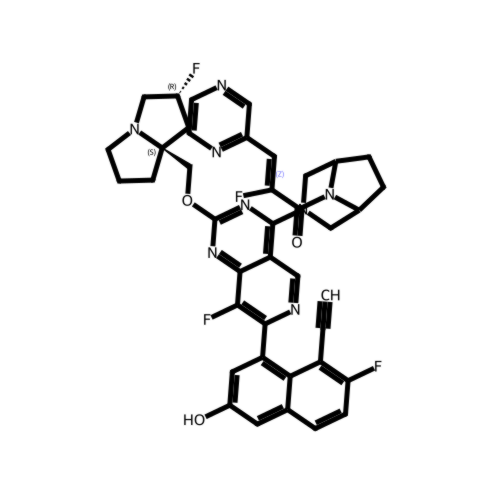 C#Cc1c(F)ccc2cc(O)cc(-c3ncc4c(N5CC6CCC(C5)N6C(=O)/C(F)=C/c5cnccn5)nc(OC[C@@]56CCCN5C[C@H](F)C6)nc4c3F)c12